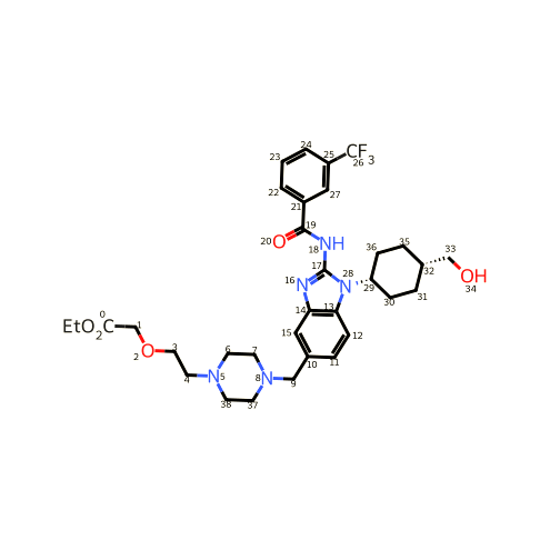 CCOC(=O)COCCN1CCN(Cc2ccc3c(c2)nc(NC(=O)c2cccc(C(F)(F)F)c2)n3[C@H]2CC[C@@H](CO)CC2)CC1